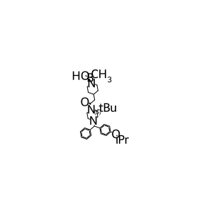 CB(O)N1CCC(CC(=O)N2CCN(C(c3ccccc3)c3ccc(OC(C)C)cc3)C[C@@H]2C(C)(C)C)CC1